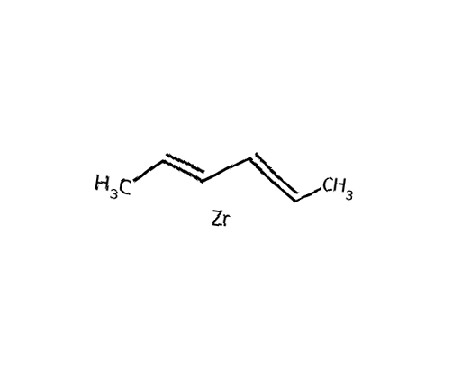 CC=CC=CC.[Zr]